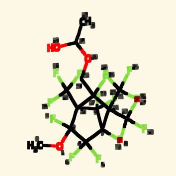 COC1(F)C(F)(F)C2(F)C(F)(F)C1(C(F)(F)F)C(F)(COC(C)O)C2(C(F)(F)F)C(F)(F)F